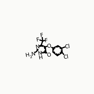 Nc1nc(C(F)(F)F)c(Oc2ccc(Cl)c(Cl)c2)c(=O)[nH]1